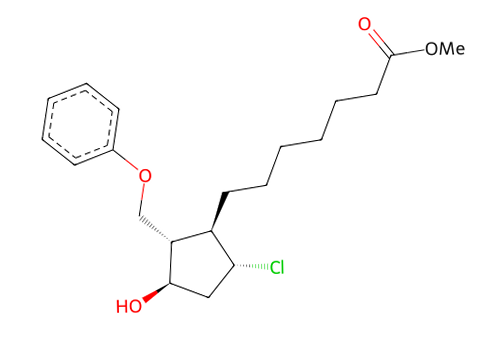 COC(=O)CCCCCC[C@@H]1[C@@H](COc2ccccc2)[C@H](O)C[C@H]1Cl